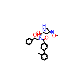 CO/N=C1/CN[C@H](C(=O)N(C[C@H](O)c2ccccc2)C(=O)c2ccc(-c3ccccc3C)cc2)C1